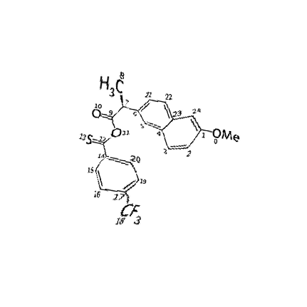 COc1ccc2cc([C@H](C)C(=O)OC(=S)c3ccc(C(F)(F)F)cc3)ccc2c1